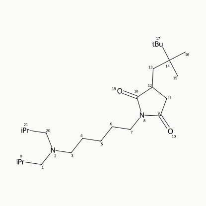 CC(C)CN(CCCCCN1C(=O)CC(CC(C)(C)C(C)(C)C)C1=O)CC(C)C